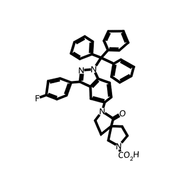 O=C(O)N1CCC2(CCN(c3ccc4c(c3)c(-c3ccc(F)cc3)nn4C(c3ccccc3)(c3ccccc3)c3ccccc3)C2=O)C1